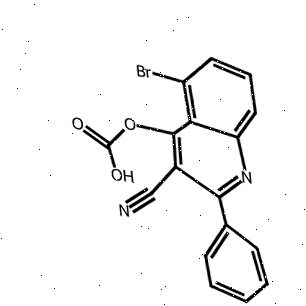 N#Cc1c(-c2ccccc2)nc2cccc(Br)c2c1OC(=O)O